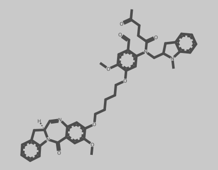 COc1cc2c(cc1OCCCCCOc1cc(N(CC3Cc4ccccc4N3C)C(=O)CCC(C)=O)c(C=O)cc1OC)N=C[C@@H]1Cc3ccccc3N1C2=O